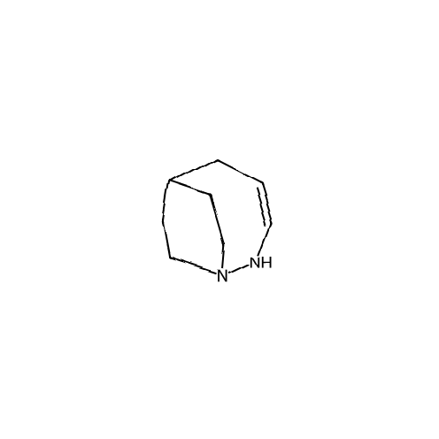 C1=CNN2CCC(C1)CC2